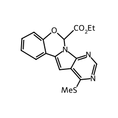 CCOC(=O)C1Oc2ccccc2-c2cc3c(SC)ncnc3n21